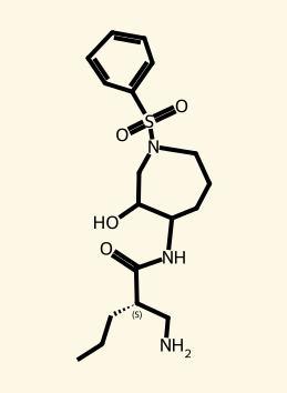 CCC[C@@H](CN)C(=O)NC1CCCN(S(=O)(=O)c2ccccc2)CC1O